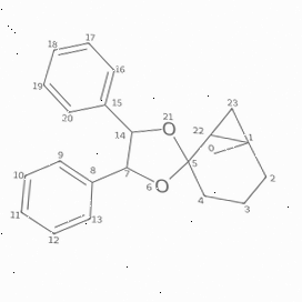 CC12CCCC3(OC(c4ccccc4)C(c4ccccc4)O3)C1C2